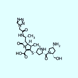 C[C@@H](NC(=O)Cn1cnnn1)[C@H]1C(=O)N2C(C(=O)O)=C(S[C@@H]3CN[C@H](C(=O)N4C[C@H](N)C[C@@H]4CO)C3)[C@H](C)[C@H]12